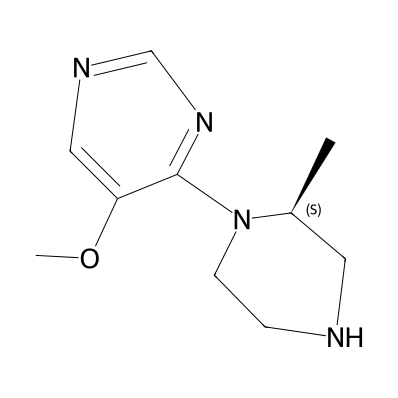 COc1cncnc1N1CCNC[C@@H]1C